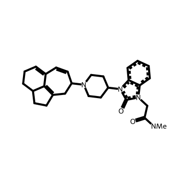 CNC(=O)Cn1c(=O)n(C2CCN(C3C=CC4=CCCC5CCC(=C45)C3)CC2)c2ccccc21